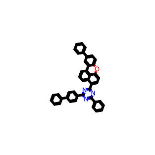 c1ccc(-c2ccc(-c3nc(-c4ccccc4)nc(-c4ccc5c6c(cccc46)-c4cc(-c6ccccc6)ccc4O5)n3)cc2)cc1